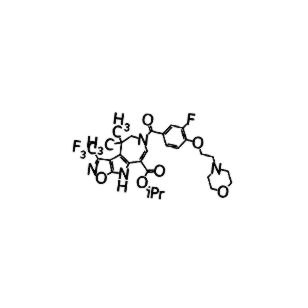 CC(C)OC(=O)C1=CN(C(=O)c2ccc(OCCN3CCOCC3)c(F)c2)CC(C)(C)c2c1[nH]c1onc(C(F)(F)F)c21